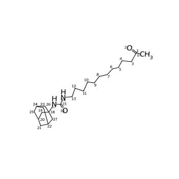 CC(=O)CCCCCCCCCCCNC(=O)NC12CC3CC(CC(C3)C1)C2